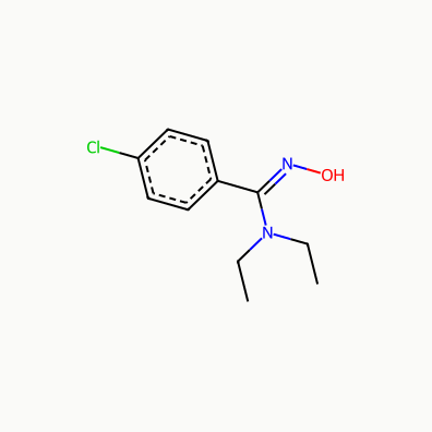 CCN(CC)C(=NO)c1ccc(Cl)cc1